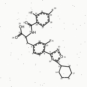 O=C(NC(Cc1ccc(-c2noc(C3CCCCC3)n2)c(F)c1)C(=O)O)c1ccc(F)cc1F